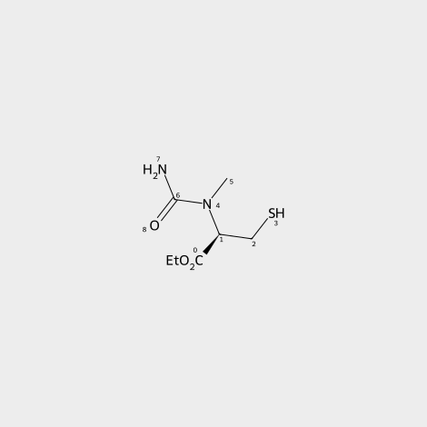 CCOC(=O)[C@H](CS)N(C)C(N)=O